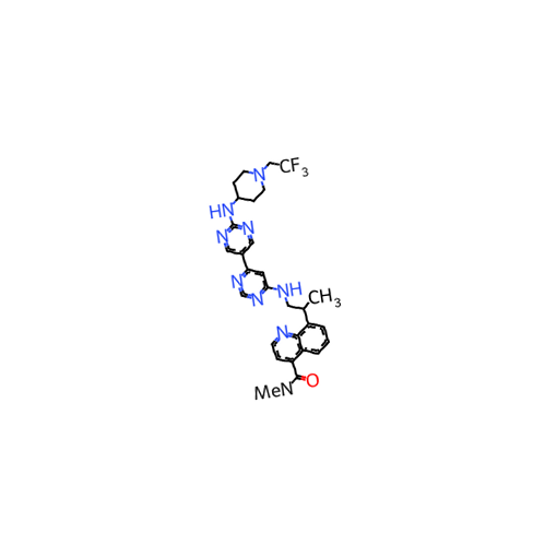 CNC(=O)c1ccnc2c(C(C)CNc3cc(-c4cnc(NC5CCN(CC(F)(F)F)CC5)nc4)ncn3)cccc12